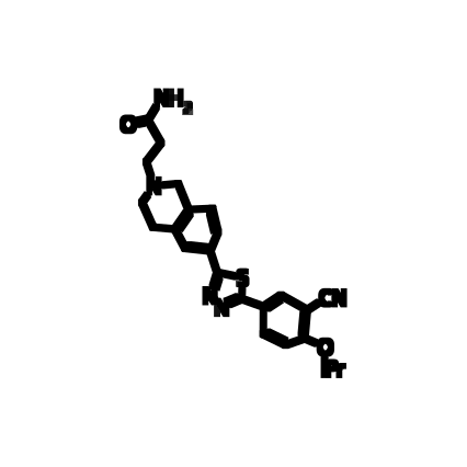 CC(C)Oc1ccc(-c2nnc(-c3ccc4c(c3)CCN(CCC(N)=O)C4)s2)cc1C#N